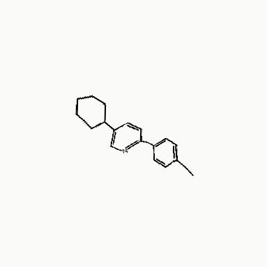 Cc1ccc(-c2ccc(C3CCCCC3)cn2)cc1